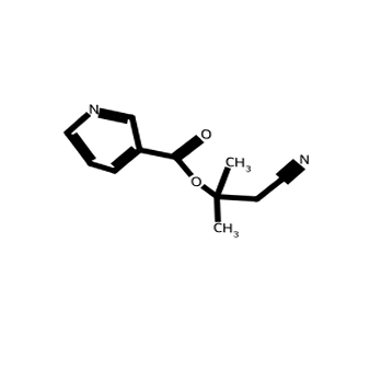 CC(C)(CC#N)OC(=O)c1cccnc1